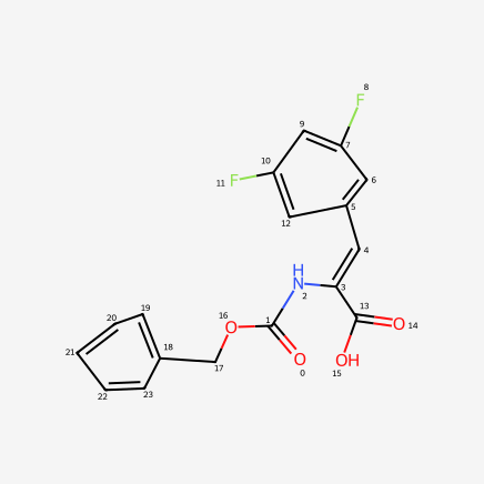 O=C(NC(=Cc1cc(F)cc(F)c1)C(=O)O)OCc1ccccc1